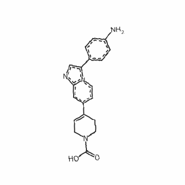 Nc1ccc(-c2cnc3cc(C4=CCN(C(=O)O)CC4)ccn23)cc1